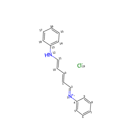 C(=CC=[N+]c1ccccc1)C=CNc1ccccc1.[Cl-]